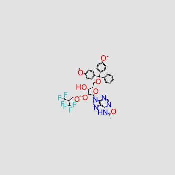 COc1ccc(C(OC[C@H]2O[C@@H](n3cnc4c(NC(C)=O)ncnc43)[C@@H](OCOCC(C(F)(F)F)C(F)(F)F)C2O)(c2ccccc2)c2ccc(OC)cc2)cc1